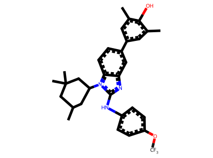 Cc1cc(-c2ccc3c(c2)nc(Nc2ccc(OC(F)(F)F)cc2)n3C2CC(C)CC(C)(C)C2)cc(C)c1O